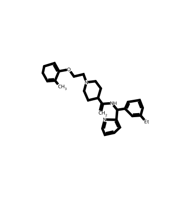 C=C(NC(c1cccc(CC)c1)c1ccccn1)C1CCN(CCOC2=CCCC=C2C)CC1